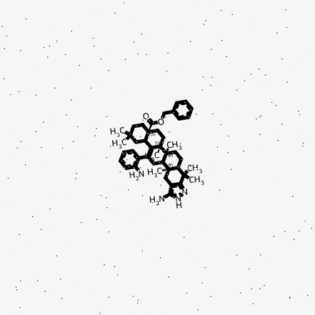 CC1(C)CC[C@]2(C(=O)OCc3ccccc3)CC[C@]3(C)C(=C(c4ccccc4N)CC4[C@@]5(C)Cc6c(n[nH]c6N)C(C)(C)C5CC[C@]43C)C2C1